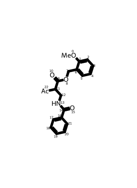 COc1ccccc1COC(=O)C(CNC(=O)c1ccccc1)C(C)=O